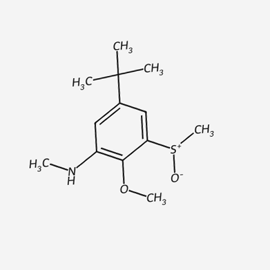 CNc1cc(C(C)(C)C)cc([S+](C)[O-])c1OC